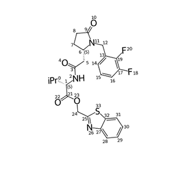 CC(C)[C@H](NC(=O)C[C@@H]1CCC(=O)N1Cc1cccc(F)c1F)C(=O)OCc1nc2ccccc2s1